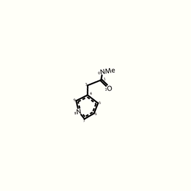 CNC(=O)Cc1cccnc1